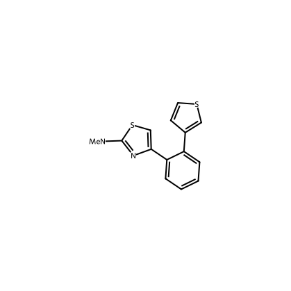 CNc1nc(-c2ccccc2-c2ccsc2)cs1